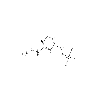 CCNc1nccc(OCC(F)(F)F)n1